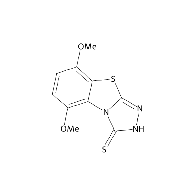 COc1ccc(OC)c2c1sc1n[nH]c(=S)n12